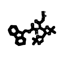 CC1(C)O[C@H]([C@H](NC(=O)OCC2c3ccccc3-c3ccccc32)C(=O)C=[N+]=[N-])[C@@H]([C@H]2COC(C)(C)O2)O1